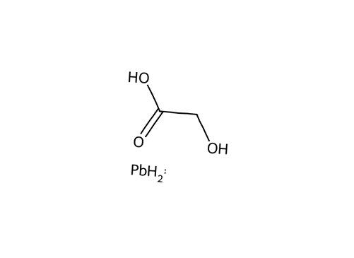 O=C(O)CO.[PbH2]